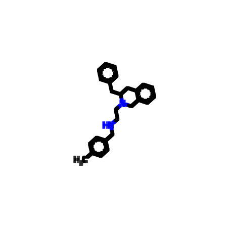 Cc1ccc(CNCCN2Cc3ccccc3CC2Cc2ccccc2)cc1